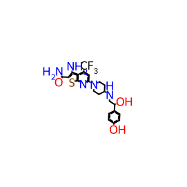 NC(=O)c1sc2nc(N3CCC(NCC(O)c4ccc(O)cc4)CC3)cc(C(F)(F)F)c2c1N